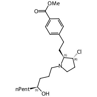 CCCCC[C@H](O)CCCN1CC[C@@H](Cl)[C@@H]1CCc1ccc(C(=O)OC)cc1